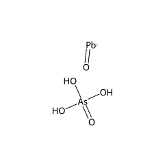 O=[As](O)(O)O.[O]=[Pb]